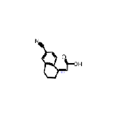 N#Cc1ccc2c(c1)CCC/C2=C/C(=O)O